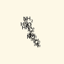 NCCNC(=O)Nc1cccc(-c2cnc3cc(-c4ccc(F)cc4)ccn23)c1